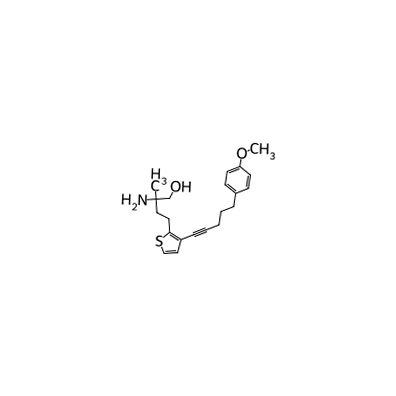 COc1ccc(CCCC#Cc2ccsc2CCC(C)(N)CO)cc1